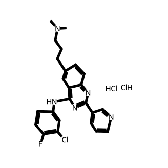 CN(C)CCCc1ccc2nc(-c3cccnc3)nc(Nc3ccc(F)c(Cl)c3)c2c1.Cl.Cl